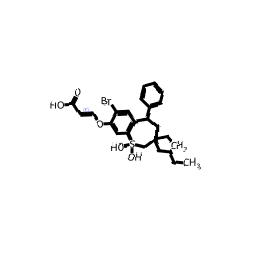 CCCCC1(CC)CC(c2ccccc2)c2cc(Br)c(O/C=C/C(=O)O)cc2S(O)(O)C1